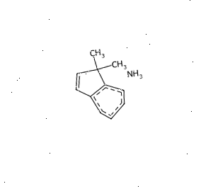 CC1(C)C=Cc2ccccc21.N